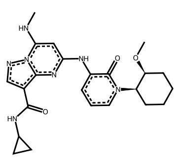 CNc1cc(Nc2cccn([C@@H]3CCCC[C@@H]3OC)c2=O)nc2c(C(=O)NC3CC3)cnn12